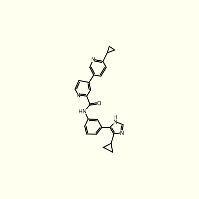 O=C(Nc1cccc(-c2[nH]cnc2C2CC2)c1)c1cc(-c2ccc(C3CC3)nc2)ccn1